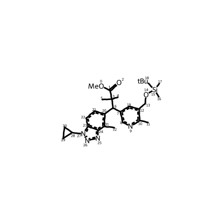 COC(=O)C(C)(C)C(c1cnc(C)c(CO[Si](C)(C)C(C)(C)C)c1)c1ccc2c(nnn2C2CC2)c1C